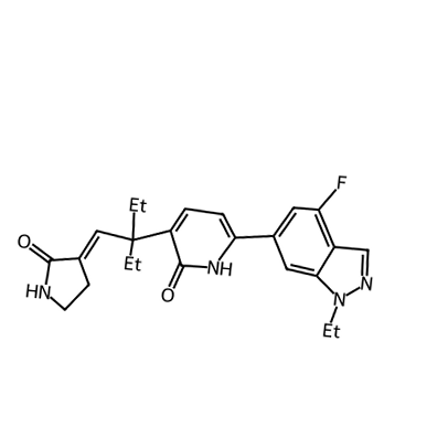 CCn1ncc2c(F)cc(-c3ccc(C(C=C4CCNC4=O)(CC)CC)c(=O)[nH]3)cc21